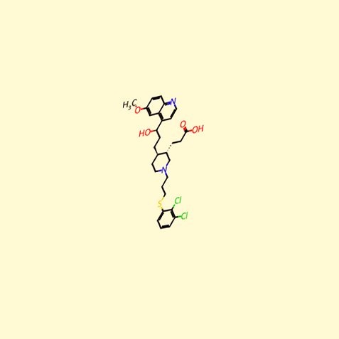 COc1ccc2nccc([C@H](O)CC[C@@H]3CCN(CCCSc4cccc(Cl)c4Cl)C[C@H]3CCC(=O)O)c2c1